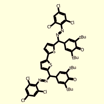 CC(C)(C)C1=CC(C(/N=N/c2c(Cl)cc(Cl)cc2Cl)c2ccc(-c3ccc(C(/N=N/c4c(Cl)cc(Cl)cc4Cl)C4C=C(C(C)(C)C)C(=O)C(C(C)(C)C)=C4)s3)s2)C=C(C(C)(C)C)C1=O